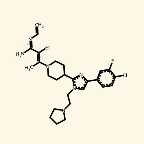 C=C/N=C(N)\C(CC)=C(/C)N1CCC(c2nc(-c3ccc(Cl)c(F)c3)cn2CCN2CCCC2)CC1